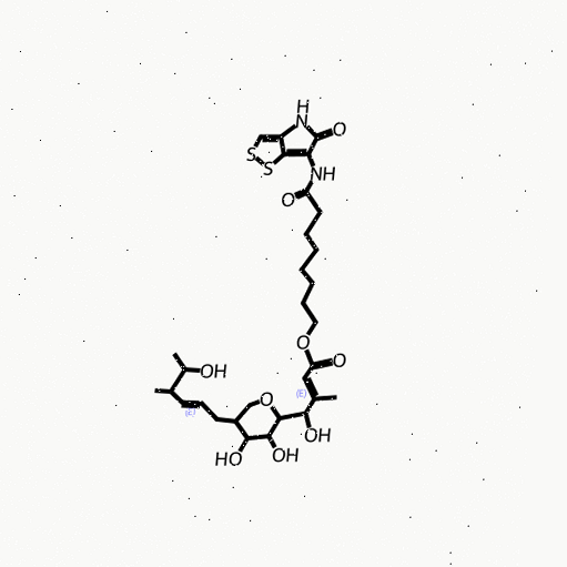 C/C(=C\C(=O)OCCCCCCCC(=O)Nc1c2sscc-2[nH]c1=O)C(O)C1OCC(C/C=C/C(C)C(C)O)C(O)C1O